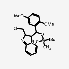 COc1ccc(OC)c(C(O[Si](C)(C)C(C)(C)C)C2C(CCl)N=C3C=CC=CN32)c1